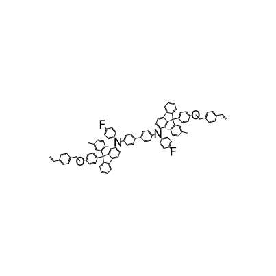 C=Cc1ccc(COc2ccc(C3(c4cc(C)ccc4C)c4ccccc4-c4ccc(N(c5ccc(F)cc5)c5ccc(-c6ccc(N(c7ccc(F)cc7)c7ccc8c(c7)C(c7ccc(OCc9ccc(C=C)cc9)cc7)(c7cc(C)ccc7C)c7ccccc7-8)cc6)cc5)cc43)cc2)cc1